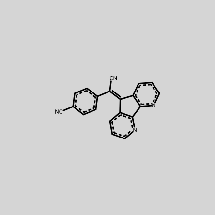 N#CC(=C1c2cccnc2-c2ncccc21)c1ccc(C#N)cc1